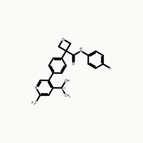 C[C@H](O)c1cc(C(F)(F)F)ncc1-c1ccc(C2(C(=O)Nc3ccc(F)cc3)COC2)cc1